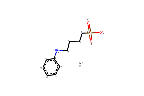 O=S(=O)([O-])CCCCNc1ccccc1.[Na+]